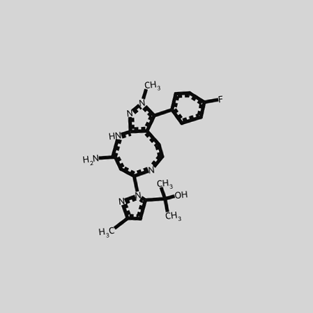 Cc1cc(C(C)(C)O)n(-c2cc(N)[nH]c3nn(C)c(-c4ccc(F)cc4)c3ccn2)n1